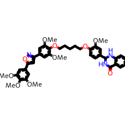 COc1cc(C2NC(=O)c3ccccc3N2)ccc1OCCCCCOc1c(OC)cc(-c2cc(-c3cc(OC)c(OC)c(OC)c3)on2)cc1OC